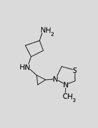 CN1CSCN1C1CC1NC1CC(N)C1